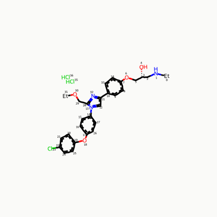 CCNC[C@@H](O)COc1ccc(-c2cn(-c3ccc(Oc4ccc(Cl)cc4)cc3)c(COCC)n2)cc1.Cl.Cl